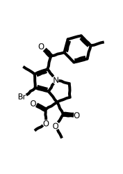 COC(=O)C1(C(=O)OC)CCn2c(C(=O)c3ccc(C)cc3)c(C)c(Br)c21